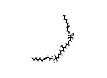 CCCCCCC#CCCOC(=O)C(C)(C)CCCCCC(=O)CCCCCC(C)(C)C(=O)OCCC#CCCCCCC